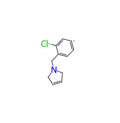 Clc1c[c]ccc1CN1CC=CC1